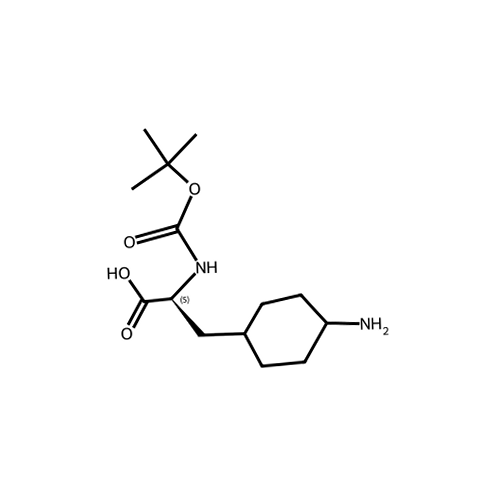 CC(C)(C)OC(=O)N[C@@H](CC1CCC(N)CC1)C(=O)O